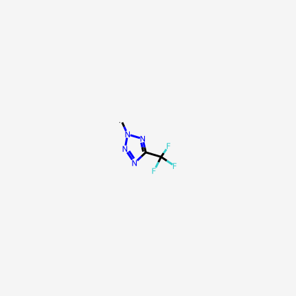 [CH2]n1nnc(C(F)(F)F)n1